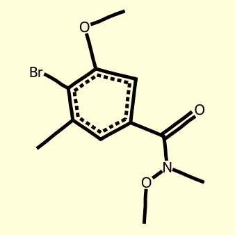 COc1cc(C(=O)N(C)OC)cc(C)c1Br